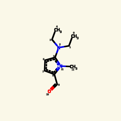 CCN(CC)c1ccc(C=O)n1C